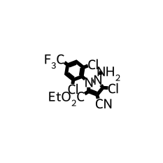 CCOC(=O)C1=C(C#N)C(Cl)N(N)N1c1c(Cl)cc(C(F)(F)F)cc1Cl